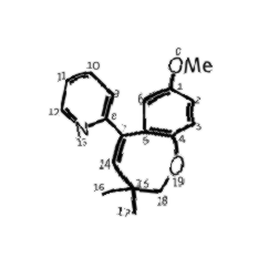 COc1ccc2c(c1)C(c1ccccn1)=CC(C)(C)CO2